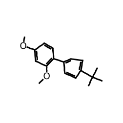 COc1ccc(-c2ccc(C(C)(C)C)cc2)c(OC)c1